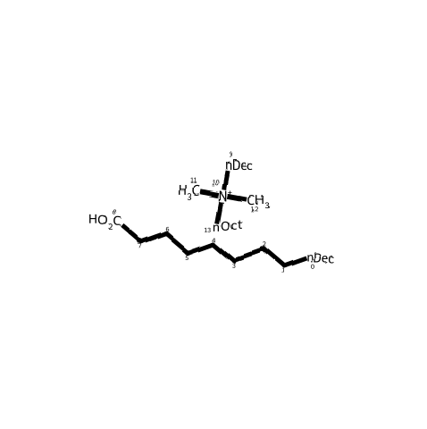 CCCCCCCCCCCCCCCCCC(=O)O.CCCCCCCCCC[N+](C)(C)CCCCCCCC